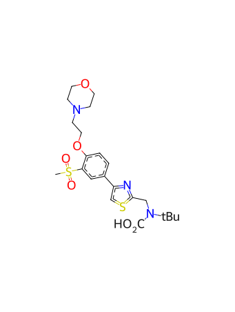 CC(C)(C)N(Cc1nc(-c2ccc(OCCN3CCOCC3)c(S(C)(=O)=O)c2)cs1)C(=O)O